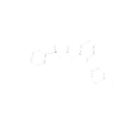 N#Cc1ccc(Oc2ccccc2NC(=S)NC(=O)c2ccccc2)cc1